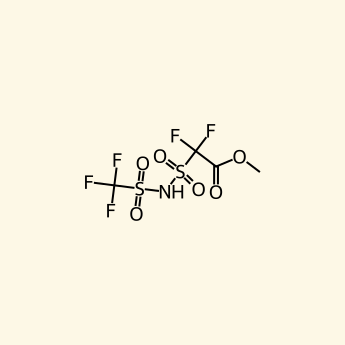 COC(=O)C(F)(F)S(=O)(=O)NS(=O)(=O)C(F)(F)F